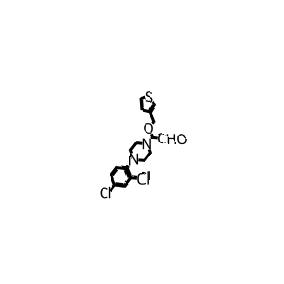 O=CC(OCc1ccsc1)N1CCN(c2ccc(Cl)cc2Cl)CC1